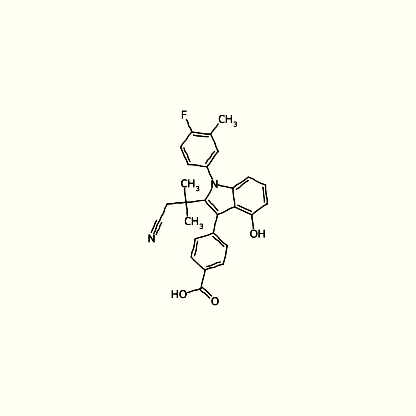 Cc1cc(-n2c(C(C)(C)CC#N)c(-c3ccc(C(=O)O)cc3)c3c(O)cccc32)ccc1F